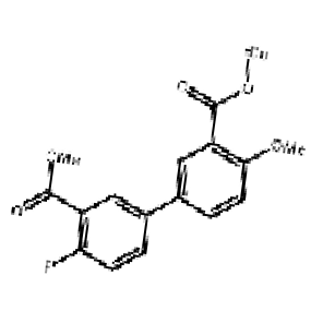 COC(=O)c1cc(-c2ccc(OC)c(C(=O)OC(C)(C)C)c2)ccc1F